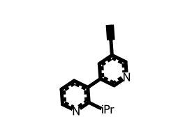 C#Cc1cncc(-c2cccnc2C(C)C)c1